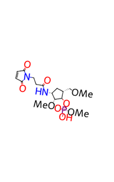 COC[C@H]1C[C@@H](NC(=O)CCN2C(=O)C=CC2=O)[C@@H](OC)C1OP(=O)(O)OC